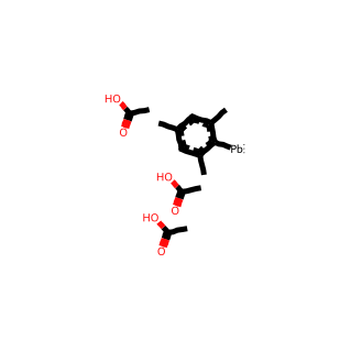 CC(=O)O.CC(=O)O.CC(=O)O.Cc1cc(C)[c]([Pb])c(C)c1